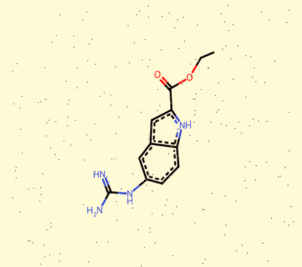 CCOC(=O)c1cc2cc(NC(=N)N)ccc2[nH]1